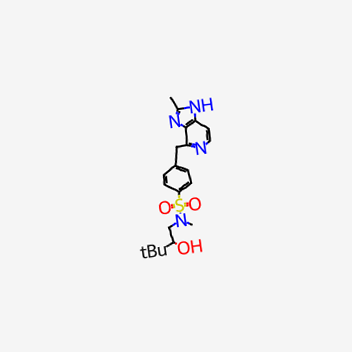 Cc1nc2c(Cc3ccc(S(=O)(=O)N(C)CC(O)C(C)(C)C)cc3)nccc2[nH]1